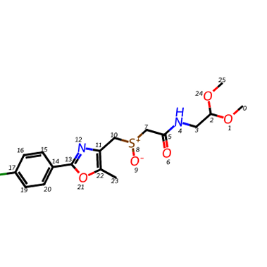 COC(CNC(=O)C[S+]([O-])Cc1nc(-c2ccc(Cl)cc2)oc1C)OC